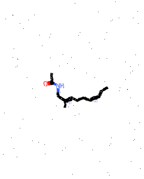 CC/C=C\CC/C=C(\C)CNC(C)=O